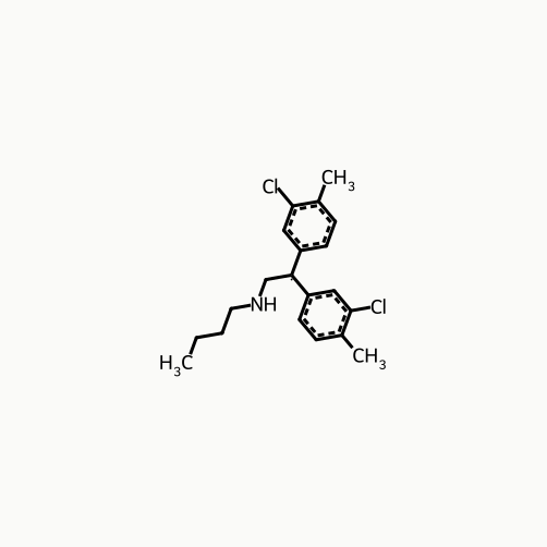 CCCCNC[C](c1ccc(C)c(Cl)c1)c1ccc(C)c(Cl)c1